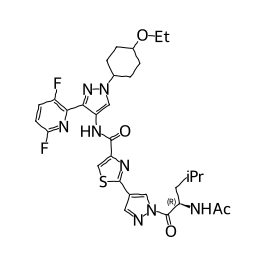 CCOC1CCC(n2cc(NC(=O)c3csc(-c4cnn(C(=O)[C@@H](CC(C)C)NC(C)=O)c4)n3)c(-c3nc(F)ccc3F)n2)CC1